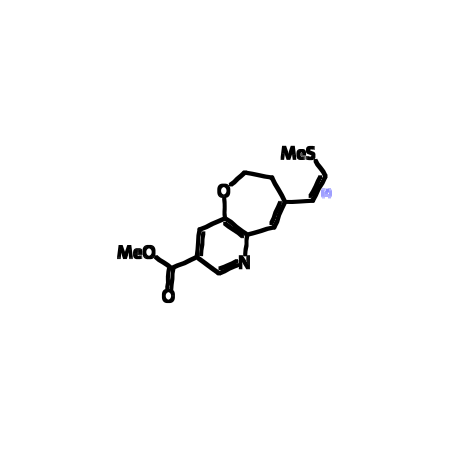 COC(=O)c1cnc2c(c1)OCCC(/C=C\SC)=C2